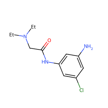 CCN(CC)CC(=O)Nc1cc(N)cc(Cl)c1